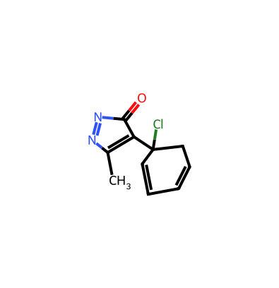 CC1=C(C2(Cl)C=CC=CC2)C(=O)N=N1